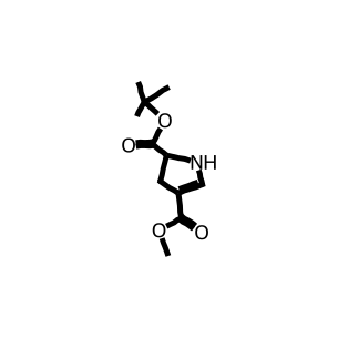 COC(=O)C1=CNC(C(=O)OC(C)(C)C)C1